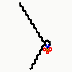 CCCCCCCCCCCCCCCCCCc1ccc[n+](S(=O)(=O)[O-])c1CCCCCCCCCCC